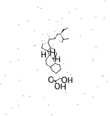 CC[C@H](CC[C@@H](C)[C@H]1CC[C@H]2[C@@H]3CCC4C[C@@H](C(O)C(=O)O)CC[C@]4(C)[C@H]3CC[C@]12C)C(C)C